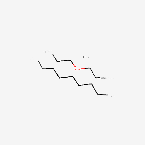 CCCCCCCCCCCCCCCCCC(=O)[O-].CCCCCCCCCCCCOCCCCCCCCCCCC.[Na+]